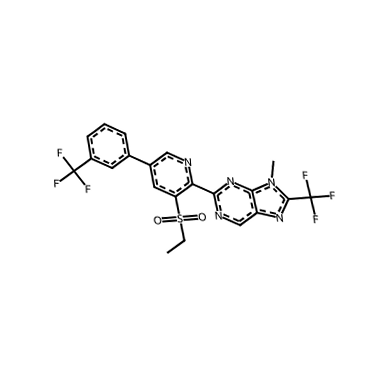 CCS(=O)(=O)c1cc(-c2cccc(C(F)(F)F)c2)cnc1-c1ncc2nc(C(F)(F)F)n(C)c2n1